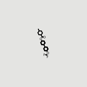 CC1CCC(C(=O)Oc2ccc(-c3ccc(OC(F)F)cc3)cc2)CC1